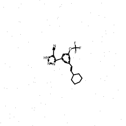 N#Cc1[nH]nnc1-c1cc(/C=C/C2CCCCC2)cc(OC(F)(F)F)c1